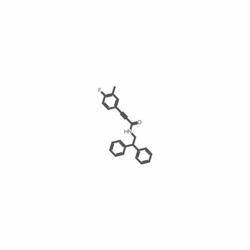 Cc1cc(C#CC(=O)NCC(c2ccccc2)c2ccccc2)ccc1F